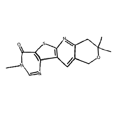 Cn1cnc2c(sc3nc4c(cc32)COC(C)(C)C4)c1=O